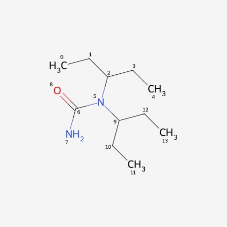 CCC(CC)N(C(N)=O)C(CC)CC